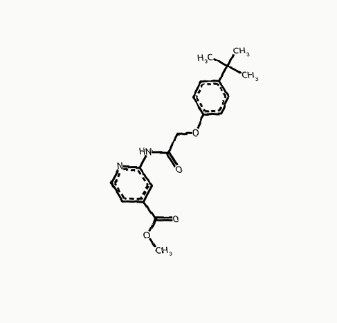 COC(=O)c1ccnc(NC(=O)COc2ccc(C(C)(C)C)cc2)c1